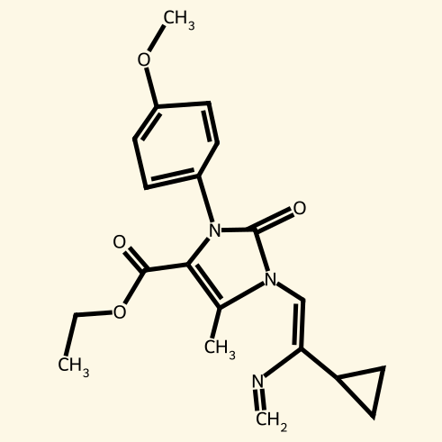 C=N/C(=C\n1c(C)c(C(=O)OCC)n(-c2ccc(OC)cc2)c1=O)C1CC1